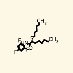 CCCCCCSC(CCCCCC)C(=O)Nc1c(F)cc(F)cc1F